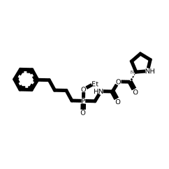 CCOP(=O)(CCCCc1ccccc1)CNC(=O)OC(=O)[C@@H]1CCCN1